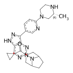 C[C@@H]1CN(c2ccc(-c3n[nH]c4cnc(N5C6CCC5CN(C(=O)C5CC5)C6)nc34)cn2)CCN1